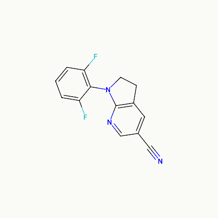 N#Cc1cnc2c(c1)CCN2c1c(F)cccc1F